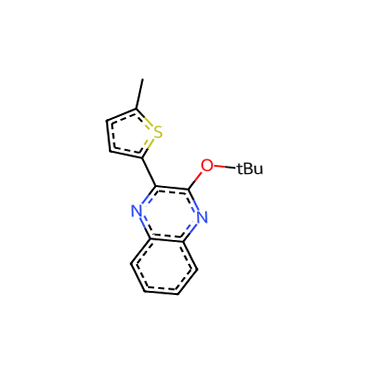 Cc1ccc(-c2nc3ccccc3nc2OC(C)(C)C)s1